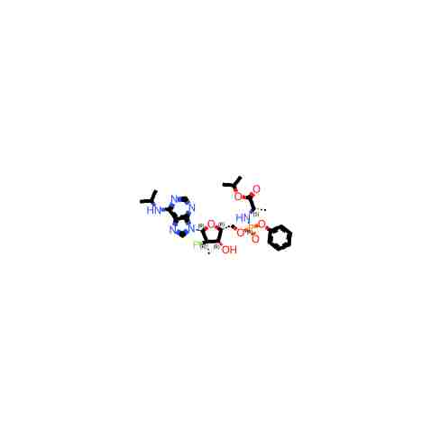 CC(C)Nc1ncnc2c1ncn2[C@@H]1O[C@H](CO[P@](=O)(N[C@@H](C)C(=O)OC(C)C)Oc2ccccc2)[C@@H](O)[C@@]1(C)F